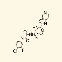 CN1CCc2nc(C(=O)NC(CNC(=O)C(=O)Nc3ccc(Cl)c(F)c3)C(=O)N(C)C)sc2C1